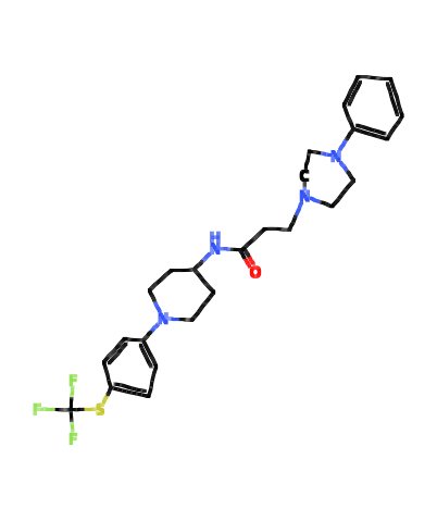 O=C(CCN1CCN(c2ccccc2)CC1)NC1CCN(c2ccc(SC(F)(F)F)cc2)CC1